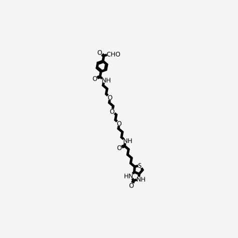 O=CC(=O)c1ccc(C(=O)NCCCOCCOCCOCCCNC(=O)CCCCC2SCC3NC(=O)NC32)cc1